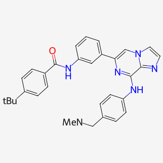 CNCc1ccc(Nc2nc(-c3cccc(NC(=O)c4ccc(C(C)(C)C)cc4)c3)cn3ccnc23)cc1